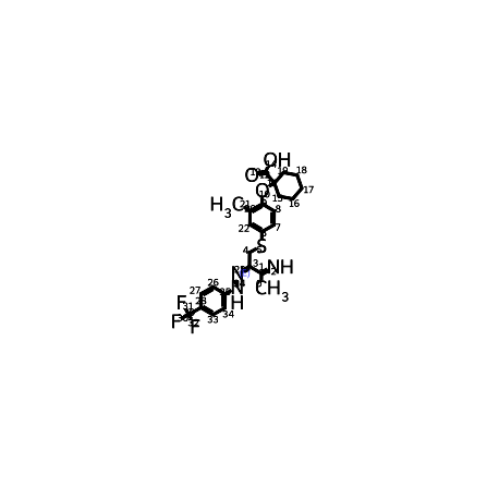 CC(=N)/C(CSc1ccc(OC2(C(=O)O)CCCCC2)c(C)c1)=N\Nc1ccc(C(F)(F)F)cc1